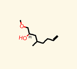 C=CCCC(C)C[C@@H](O)COC